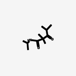 CC(C)NC(=O)C(C)(C)C(=O)C(C)C